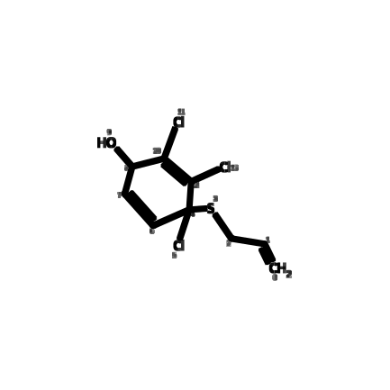 C=CCSC1(Cl)C=CC(O)C(Cl)=C1Cl